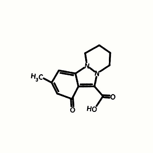 Cc1cc2n3n(c(C(=O)O)c-2c(=O)c1)CCCC3